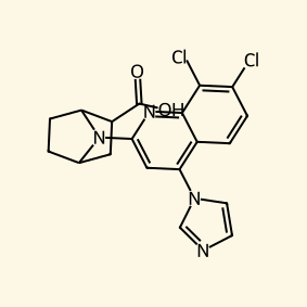 O=C(O)C1CC2CCC1N2c1cc(-n2ccnc2)c2ccc(Cl)c(Cl)c2n1